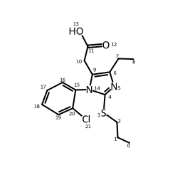 CCCSc1nc(CC)c(CC(=O)O)n1-c1ccccc1Cl